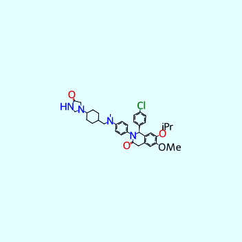 COc1cc2c(cc1OC(C)C)[C@H](c1ccc(Cl)cc1)N(c1ccc(N(C)CC3CCC(N4CNC(=O)C4)CC3)cc1)C(=O)C2